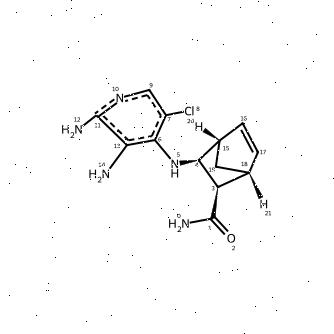 NC(=O)[C@H]1[C@@H](Nc2c(Cl)cnc(N)c2N)[C@@H]2C=C[C@H]1C2